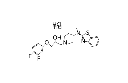 CN(c1nc2ccccc2s1)C1CCN(CC(O)COc2ccc(F)c(F)c2)CC1.Cl.Cl